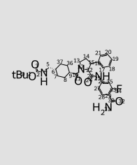 CC(C)(C)OC(=O)NC[C@H]1CC[C@H](C(=O)N2CCC(c3ccccc3)C2C(=O)Nc2ccc(C(N)=O)c(F)c2)CC1